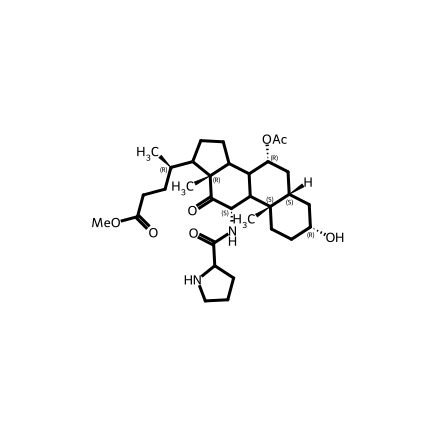 COC(=O)CC[C@@H](C)C1CCC2C3C([C@H](NC(=O)C4CCCN4)C(=O)[C@@]21C)[C@@]1(C)CC[C@@H](O)C[C@H]1C[C@H]3OC(C)=O